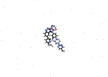 CC(=O)c1cnc(N2CCN(c3ccc(-n4c(=O)n(C)c5cnc6ccc(-c7ccc(C)nc7)cc6c54)cc3C(F)(F)F)CC2)nc1